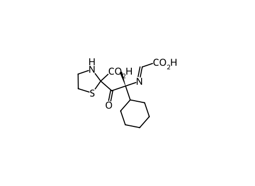 C[C@](N=CC(=O)O)(C(=O)C1(C(=O)O)NCCS1)C1CCCCC1